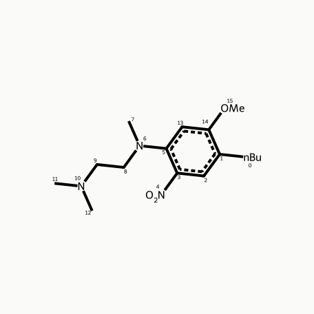 CCCCc1cc([N+](=O)[O-])c(N(C)CCN(C)C)cc1OC